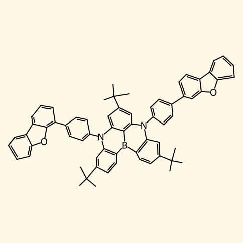 CC(C)(C)c1ccc2c(c1)N(c1ccc(-c3ccc4c(c3)oc3ccccc34)cc1)c1cc(C(C)(C)C)cc3c1B2c1ccc(C(C)(C)C)cc1N3c1ccc(-c2cccc3c2oc2ccccc23)cc1